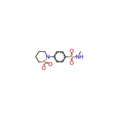 CNS(=O)(=O)c1ccc(N2CCCCS2(=O)=O)cc1